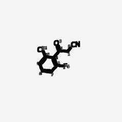 N#CCC(=O)c1c(F)cccc1Cl